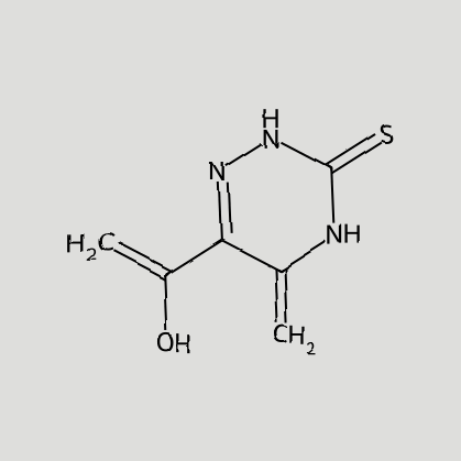 C=C(O)C1=NNC(=S)NC1=C